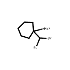 CCCCCCC1(C(CC)CCC)CCCCC1